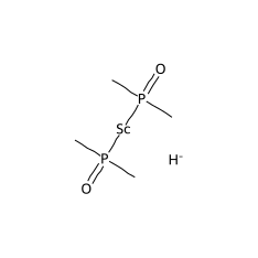 C[P](C)(=O)[Sc][P](C)(C)=O.[H-]